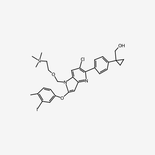 Cc1ccc(Oc2cc3nc(-c4ccc(C5(CO)CC5)cc4)c(Cl)cc3n2COCC[Si](C)(C)C)cc1I